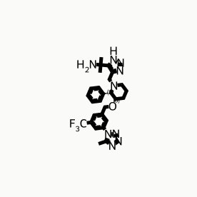 Cc1nnnn1-c1cc(CO[C@H]2CCCN(Cc3nn[nH]c3C(C)(C)N)[C@H]2c2ccccc2)cc(C(F)(F)F)c1